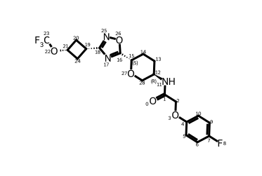 O=C(COc1ccc(F)cc1)N[C@@H]1CC[C@@H](c2nc([C@H]3C[C@@H](OC(F)(F)F)C3)no2)OC1